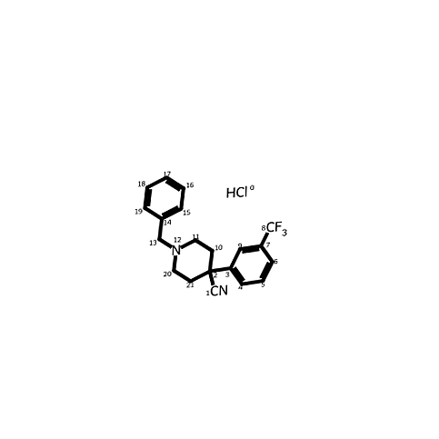 Cl.N#CC1(c2cccc(C(F)(F)F)c2)CCN(Cc2ccccc2)CC1